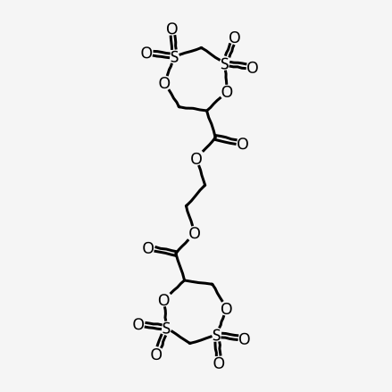 O=C(OCCOC(=O)C1COS(=O)(=O)CS(=O)(=O)O1)C1COS(=O)(=O)CS(=O)(=O)O1